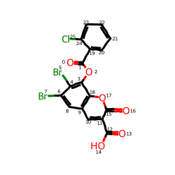 O=C(Oc1c(Br)c(Br)cc2cc(C(=O)O)c(=O)oc12)c1ccccc1Cl